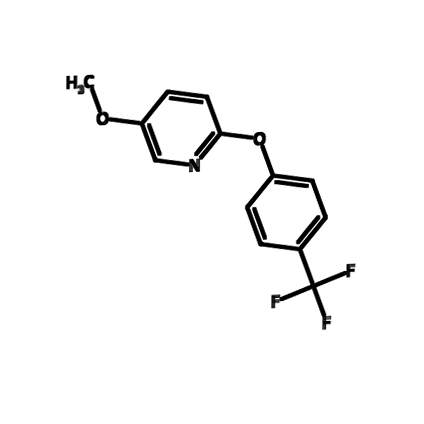 COc1ccc(Oc2ccc(C(F)(F)F)cc2)nc1